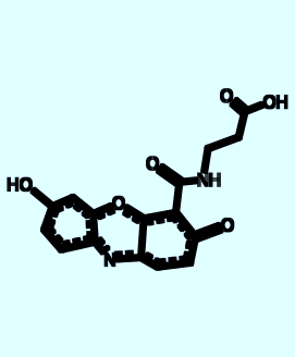 O=C(O)CCNC(=O)c1c2oc3cc(O)ccc3nc-2ccc1=O